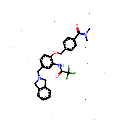 CN(C)C(=O)c1ccc(COc2ccc(CN3Cc4ccccc4C3)cc2NC(=O)C(F)(F)F)cc1